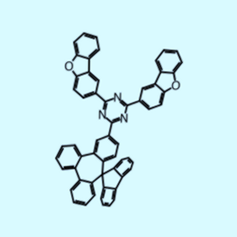 c1ccc2c(c1)-c1ccccc1C1(c3ccc(-c4nc(-c5ccc6oc7ccccc7c6c5)nc(-c5ccc6oc7ccccc7c6c5)n4)cc3-2)c2ccccc2-c2ccccc21